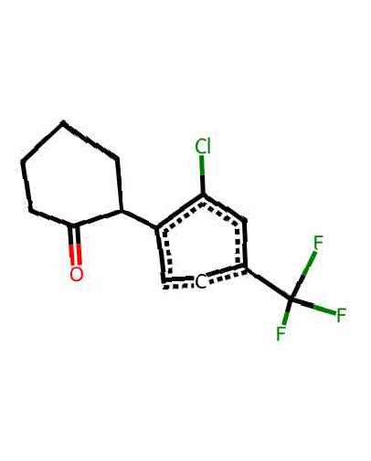 O=C1CCCCC1c1ccc(C(F)(F)F)cc1Cl